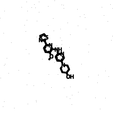 COc1ccc(-c2nccs2)nc1Nc1ccc(N2CCC(O)CC2)cn1